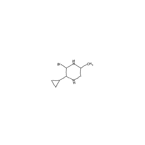 CC1[CH]NC(C2CC2)C(Br)N1